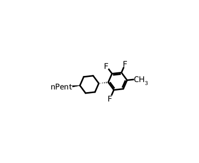 CCCCC[C@H]1CC[C@H](c2c(F)cc(C)c(F)c2F)CC1